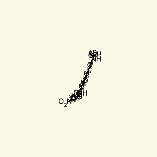 CCCCOC(=O)NCCOCCCOCCOCCOCCNS(=O)(=O)c1ccc([N+](=O)[O-])cc1